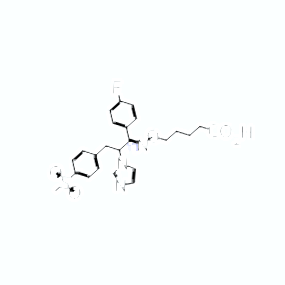 CS(=O)(=O)c1ccc(CC(/C(=N/OCCCCC(=O)O)c2ccc(F)cc2)n2ccnc2)cc1